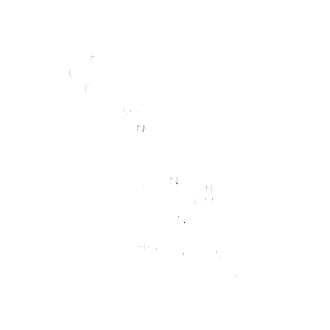 Cc1cc(=O)oc2c(CN(CC(=O)O)C(=O)c3csc(C4CCN(C(=O)c5ccccc5-c5ccc(C(F)(F)F)cc5)CC4)n3)c(O)ccc12